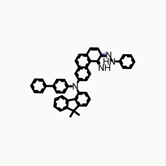 CC1(C)c2ccccc2-c2c(N(c3ccc(-c4ccccc4)cc3)c3ccc4c5c(ccc4c3)C=C/C(=N/Nc3ccccc3)C5=N)cccc21